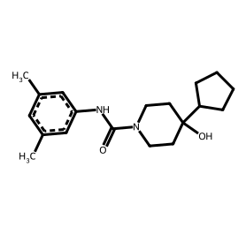 Cc1cc(C)cc(NC(=O)N2CCC(O)(C3CCCC3)CC2)c1